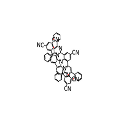 N#Cc1cc(C#N)cc(-c2ccc3c4ccc(-c5cc(C#N)cc(C#N)c5)cc4n(-c4c(-c5cc(-c6ccccc6)nc(-c6ccccc6)n5)cc(C#N)cc4-c4nc(-c5ccccc5)cc(-c5ccccc5)n4)c3c2)c1